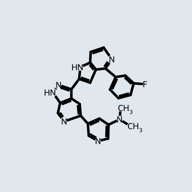 CN(C)c1cncc(-c2cc3c(-c4cc5c(-c6cccc(F)c6)nccc5[nH]4)n[nH]c3cn2)c1